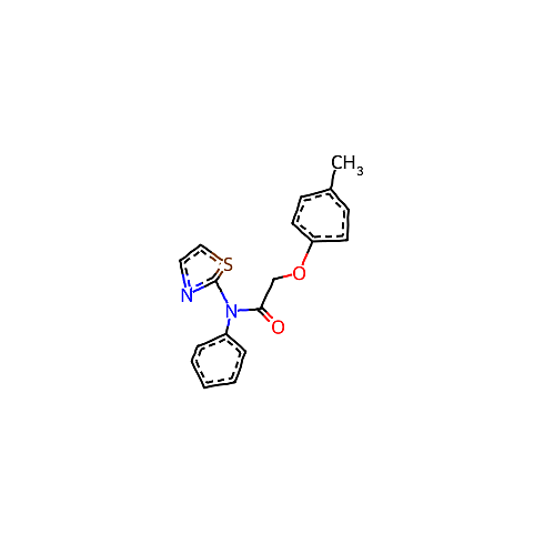 Cc1ccc(OCC(=O)N(c2ccccc2)c2nccs2)cc1